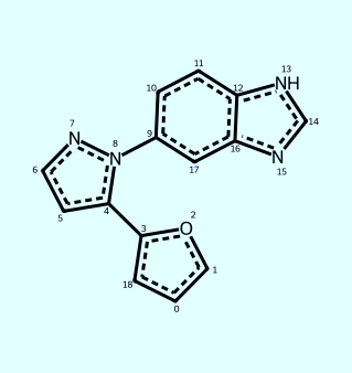 c1coc(-c2ccnn2-c2ccc3[nH]cnc3c2)c1